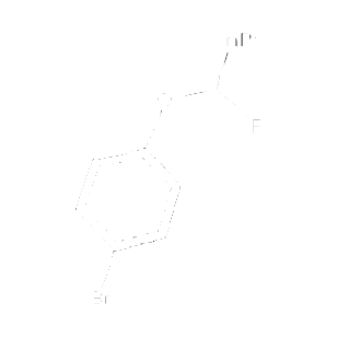 CCCC(F)Oc1ccc(Br)cc1